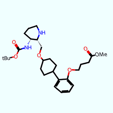 COC(=O)CCCOc1ccccc1C1CCC(OC[C@H]2NCCC[C@H]2NC(=O)OC(C)(C)C)CC1